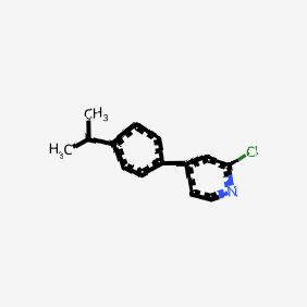 CC(C)c1ccc(-c2ccnc(Cl)c2)cc1